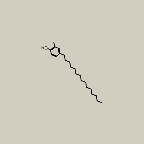 CCCCCCCCCCCCCCCc1ccc(O)c(C)c1